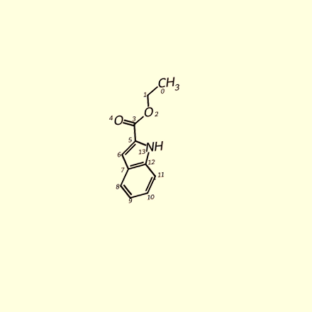 CCOC(=O)c1cc2ccc[c]c2[nH]1